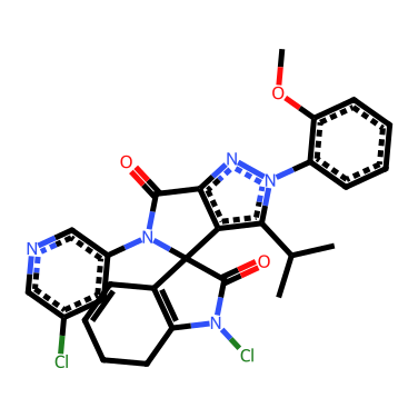 COc1ccccc1-n1nc2c(c1C(C)C)C1(C(=O)N(Cl)C3=C1C=CCC3)N(c1cncc(Cl)c1)C2=O